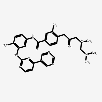 Cc1ccc(NC(=O)c2ccc(CC(=N)C[C@@H](C)CN(C)C)c(C(F)(F)F)c2)cc1Nc1nccc(-c2cncnc2)n1